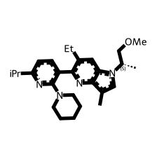 CCc1cc2c(nc1-c1ccc(C(C)C)nc1N1CCCCC1)c(C)cn2[C@@H](C)COC